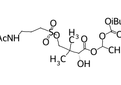 CC(=O)NCCCS(=O)(=O)OCC(C)(C)[C@@H](O)C(=O)OC(C)OC(=O)OCC(C)C